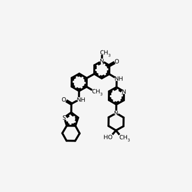 Cc1c(NC(=O)c2cc3c(s2)CCCC3)cccc1-c1cc(Nc2ccc(N3CCC(C)(O)CC3)cn2)c(=O)n(C)c1